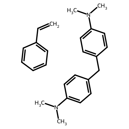 C=Cc1ccccc1.CN(C)c1ccc(Cc2ccc(N(C)C)cc2)cc1